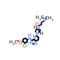 CCOc1ccc(Nc2ncnc3ccc(N4C[C@@H]5C[C@H]4CN5C(=O)/C=C/CN(C)C)nc23)c(F)c1Cl